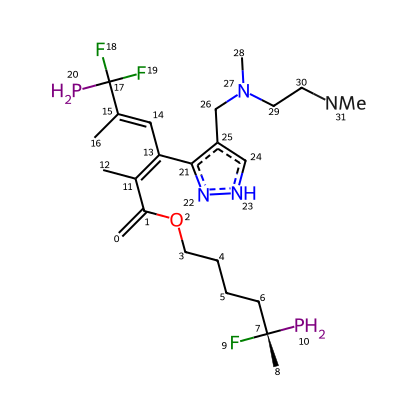 C=C(OCCCC[C@@](C)(F)P)/C(C)=C(/C=C(\C)C(F)(F)P)c1n[nH]cc1CN(C)CCNC